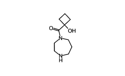 O=C(N1CCCNCC1)C1(O)CCC1